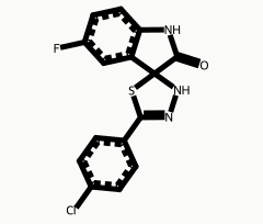 O=C1Nc2ccc(F)cc2C12NN=C(c1ccc(Cl)cc1)S2